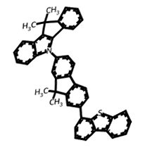 CC1(C)c2cc(-c3cccc4c3sc3ccccc34)ccc2-c2ccc(-n3c4c(c5ccccc53)C(C)(C)c3ccccc3-4)cc21